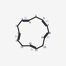 [C]1=C/C/C=C/C/C=C\C=C\C/C=C/C/1